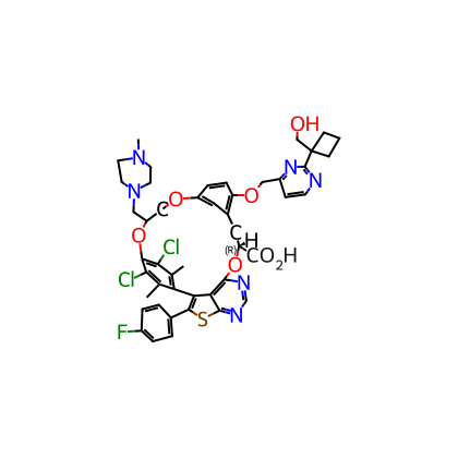 Cc1c(Cl)c2c(Cl)c(C)c1-c1c(-c3ccc(F)cc3)sc3ncnc(c13)O[C@@H](C(=O)O)Cc1cc(ccc1OCc1ccnc(C3(CO)CCC3)n1)OCC(CN1CCN(C)CC1)O2